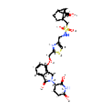 CC1(C)C2CCC1(CS(=O)(=O)NCc1csc(COc3cccc4c3CN(C3CCC(=O)NC3=O)C4=O)n1)C(=O)C2